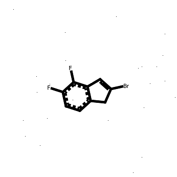 Fc1ccc2c(c1F)C=C(Br)C2